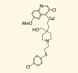 COc1ccc2ncc(Cl)c([C@@H](F)CCC3(CO)CCN(CCSc4ccc(Cl)cc4)CC3)c2c1